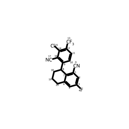 N#Cc1cc(F)cc2c1C(c1ccc(C(F)(F)F)c(Cl)c1C#N)CCC2